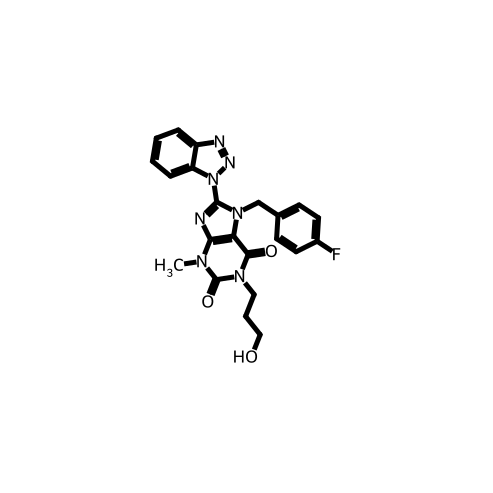 Cn1c(=O)n(CCCO)c(=O)c2c1nc(-n1nnc3ccccc31)n2Cc1ccc(F)cc1